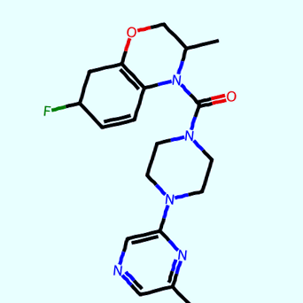 Cc1cncc(N2CCN(C(=O)N3C4=C(CC(F)C=C4)OCC3C)CC2)n1